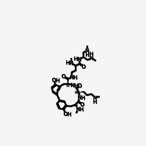 CNCCC[C@@H]1NC(=O)[C@@H](NC)Cc2cc(ccc2O)-c2ccc(O)c(c2)C[C@@H](C(=O)NCCC(NC)C(=O)NC(CNC)CNC)NC1=O